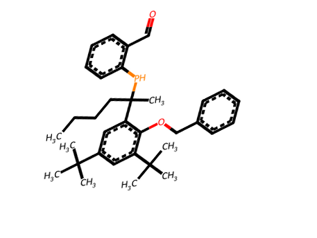 CCCCC(C)(Pc1ccccc1C=O)c1cc(C(C)(C)C)cc(C(C)(C)C)c1OCc1ccccc1